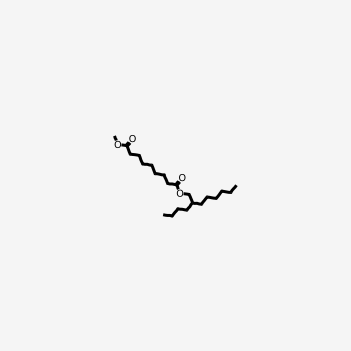 CCCCCCC(CCCC)COC(=O)CCCCCCCC(=O)OC